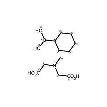 CN(CC(=O)O)CC(=O)O.OB(O)C1CCCCC1